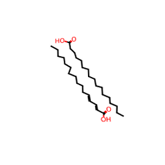 CCCCCCCCCCCC=CC=CC(=O)O.CCCCCCCCCCCCCCCCC(=O)O